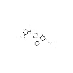 C[C@@H](O)COc1ccc(N2CCN(C[C@@](C)(O)c3cncc(C(N)=O)c3)C[C@H]2c2ccccc2)c(Cl)c1